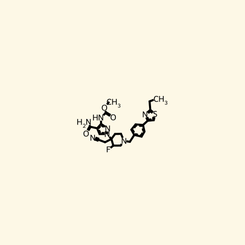 CCc1nc(-c2ccc(CN3CCC(CC#N)(n4cc(C(N)=O)c(NC(=O)OC)n4)C(F)C3)cc2)cs1